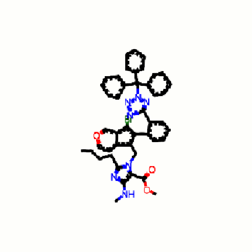 CCCCc1nc(NC)c(C(=O)OC)n1Cc1c2ccocc-2c(Br)c1-c1ccccc1-c1nnn(C(c2ccccc2)(c2ccccc2)c2ccccc2)n1